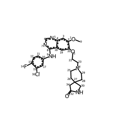 COc1cc2ncnc(Nc3ccc(F)c(Cl)c3)c2cc1OCCN1CCC2(CC1)CNC(=O)C2